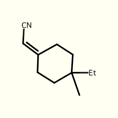 CCC1(C)CCC(=CC#N)CC1